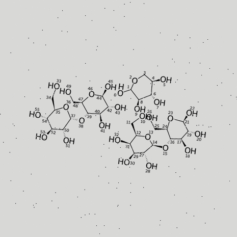 OC1OC[C@@H](O)[C@H](O)[C@H]1O.OC[C@H]1O[C@@H](O[C@H]2[C@H](O)[C@@H](O)[C@H](O)O[C@@H]2CO)[C@H](O)[C@@H](O)[C@H]1O.OC[C@H]1O[C@H](O[C@H]2[C@H](O)[C@@H](O)[C@H](O)O[C@@H]2CO)[C@H](O)[C@@H](O)[C@@H]1O